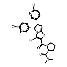 CC(C)C1=C(C(=O)N2CCC[C@H]2C(=O)N(C)C)SC2=N[C@@H](c3ccc(Cl)nc3)[C@@H](c3ccc(Cl)nc3)N21